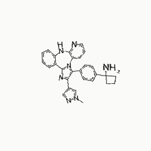 Cn1cc(-c2nc3n(c2-c2ccc(C4(N)CCC4)cc2)-c2cccnc2Nc2ccccc2-3)cn1